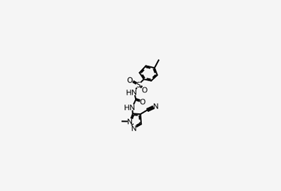 Cc1ccc(S(=O)(=O)NC(=O)Nc2c(C#N)cnn2C)cc1